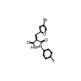 O=C1NN(c2ccc(I)cc2)C(=O)/C1=C\c1cc(Br)co1